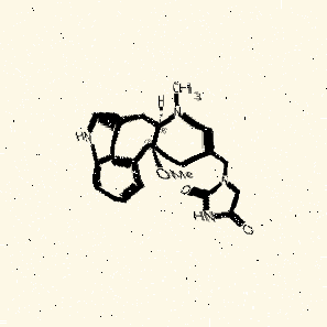 CO[C@]12CC(CN3CC(=O)NC3=O)CN(C)[C@@H]1Cc1c[nH]c3cccc2c13